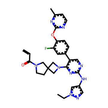 C=CC(=O)N1CCC2(C1)CN(c1nc(Nc3cnn(CC)c3)ncc1-c1ccc(Oc3nccc(C)n3)c(F)c1)C2